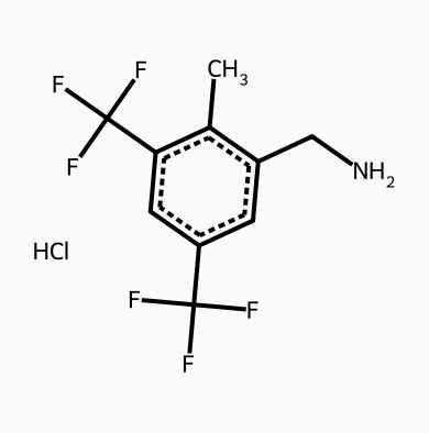 Cc1c(CN)cc(C(F)(F)F)cc1C(F)(F)F.Cl